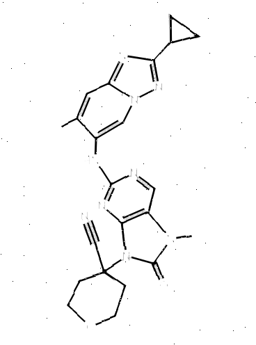 Cc1cc2nc(C3CC3)nn2cc1Nc1ncc2c(n1)n(C1(C#N)CCOCC1)c(=O)n2C